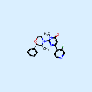 C[C@@H]1[C@H](c2ccccc2)OCCN1c1nc(-c2ccncc2F)cc(=O)n1C